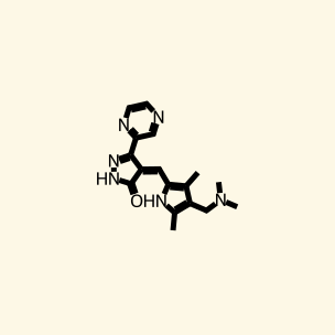 Cc1[nH]c(C=C2C(=O)NN=C2c2cnccn2)c(C)c1CN(C)C